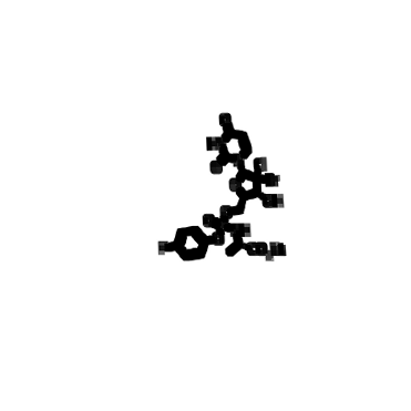 CCOC(=O)[C@H](C)NP(=O)(OC[C@H]1O[C@@H](n2ccc(=O)[nH]c2=O)[C@](Cl)(Br)[C@@H]1O)Oc1ccc(F)cc1